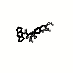 CN(C)Cc1ccc([SH](N)(=O)NC(=O)Nc2c3c(cc4c2CCC4)CCC3)cc1F